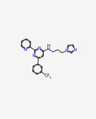 FC(F)(F)c1cccc(-c2cc(NCCCn3ccnc3)nc(-c3ccccn3)n2)c1